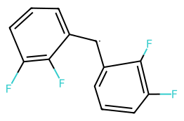 Fc1cccc([CH]c2cccc(F)c2F)c1F